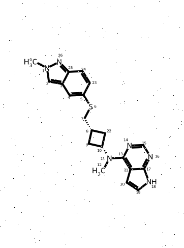 Cn1cc2cc(SC[C@H]3C[C@@H](N(C)c4ncnc5[nH]ccc45)C3)ccc2n1